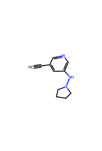 C#Cc1cncc(NN2CCCC2)c1